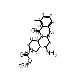 Cc1cccc2nc(CCN)n(C3CCN(C(=O)OC(C)(C)C)CC3)c(=O)c12